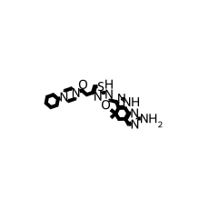 CC1(C)Cc2cnc(N)nc2-c2[nH]nc(C(=O)Nc3nc(CC(=O)N4CCN(C5CCCCC5)CC4)cs3)c21